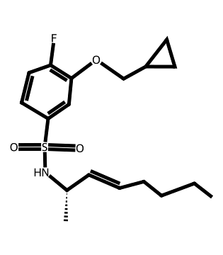 CCCC/C=C/[C@H](C)NS(=O)(=O)c1ccc(F)c(OCC2CC2)c1